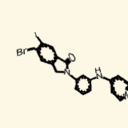 O=C1c2cc(I)c(Br)cc2CN1c1cccc(Nc2ccncc2)c1